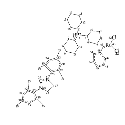 C1CCC([PH+](C2CCCCC2)C2CCCCC2)CC1.Cc1cc(C)c(N2[CH-]N(c3c(C)cc(C)cc3C)CC2)c(C)c1.[Cl][Ru]([Cl])=[CH]c1ccccc1